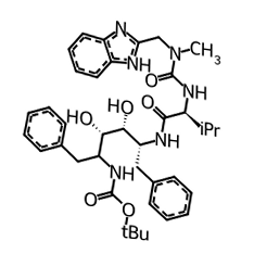 CC(C)[C@H](NC(=O)N(C)Cc1nc2ccccc2[nH]1)C(=O)N[C@H](Cc1ccccc1)[C@@H](O)[C@@H](O)C(Cc1ccccc1)NC(=O)OC(C)(C)C